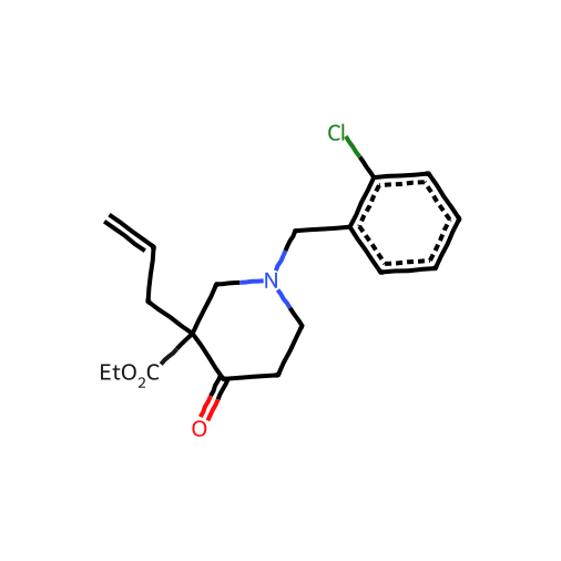 C=CCC1(C(=O)OCC)CN(Cc2ccccc2Cl)CCC1=O